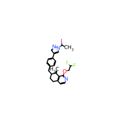 C=C1c2c(ccnc2OCC(F)F)CCC1Cc1ccc(-c2cnn(C(C)I)c2)cc1